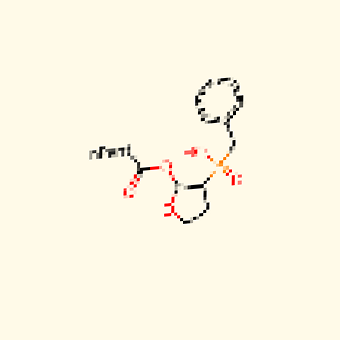 CCCCCC(=O)OC1OCCC1P(=O)(O)Cc1ccccc1